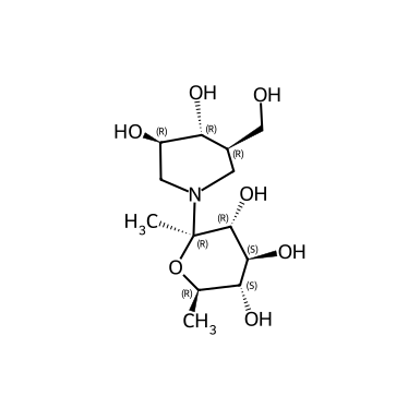 C[C@H]1O[C@@](C)(N2C[C@H](CO)[C@@H](O)[C@H](O)C2)[C@H](O)[C@@H](O)[C@@H]1O